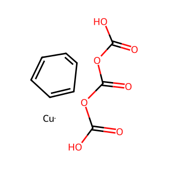 O=C(O)OC(=O)OC(=O)O.[Cu].c1ccccc1